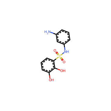 Nc1cccc(NS(=O)(=O)c2cccc(O)c2O)c1